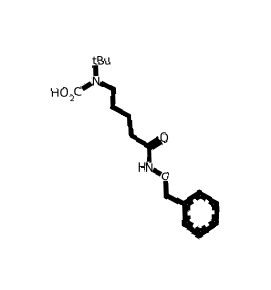 CC(C)(C)N(CCCCC(=O)NOCc1ccccc1)C(=O)O